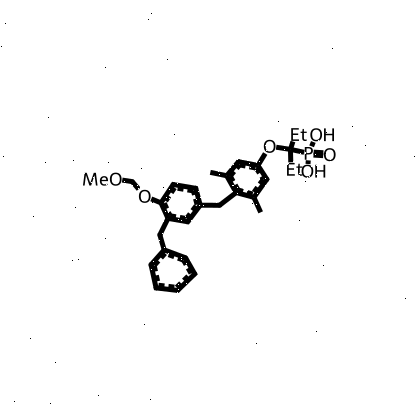 CCC(CC)(Oc1cc(C)c(Cc2ccc(OCOC)c(Cc3ccccc3)c2)c(C)c1)P(=O)(O)O